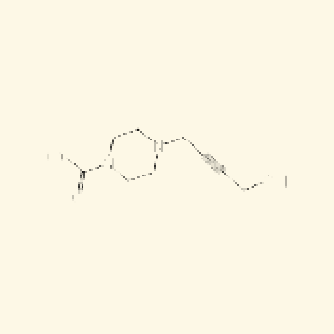 CC(C)C(=O)N1CCN(CC#CCO)CC1